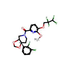 COc1nc(C(=O)N2CC[C@]3(c4cccc(F)c4F)OCOC3C2)ccc1OCC(F)(F)C(F)F